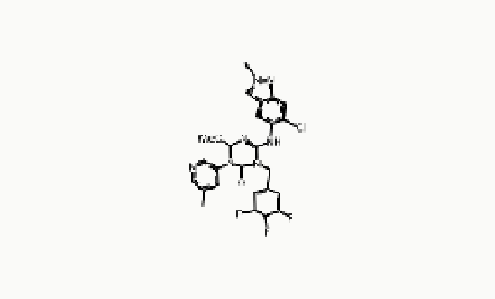 COC1N=C(Nc2cc3cn(C)nc3cc2Cl)N(CC2=CC(F)C(F)C(F)=C2)C(=O)N1c1cncc(C)c1